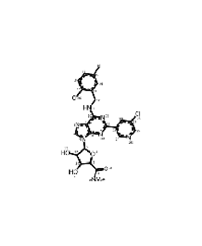 CNC(=O)C1OC(n2cnc3c(NCc4cc(C)ccc4Cl)nc(-c4cncc(Cl)c4)nc32)C(O)C1O